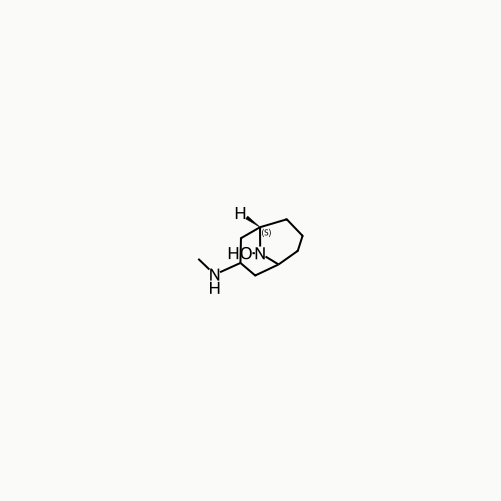 CNC1CC2CCC[C@@H](C1)N2O